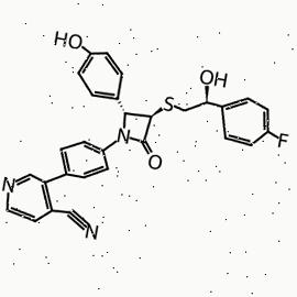 N#Cc1ccncc1-c1ccc(N2C(=O)[C@H](SC[C@@H](O)c3ccc(F)cc3)[C@H]2c2ccc(O)cc2)cc1